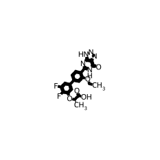 CCOc1cc(-c2cc(F)c(F)c(O[C@@H](C)C(=O)O)c2)ccc1-c1nc2[nH]nnc2c(=O)[nH]1